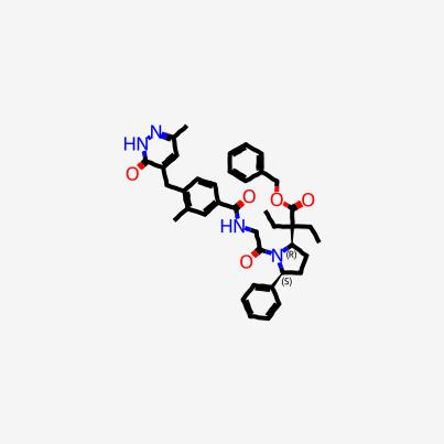 CCC(CC)(C(=O)OCc1ccccc1)[C@H]1CC[C@@H](c2ccccc2)N1C(=O)CNC(=O)c1ccc(Cc2cc(C)n[nH]c2=O)c(C)c1